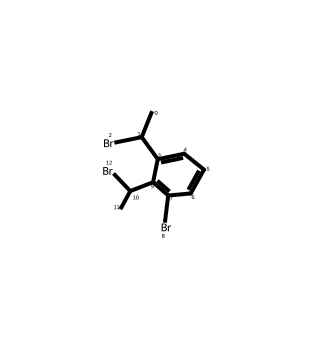 CC(Br)c1cccc(Br)c1C(C)Br